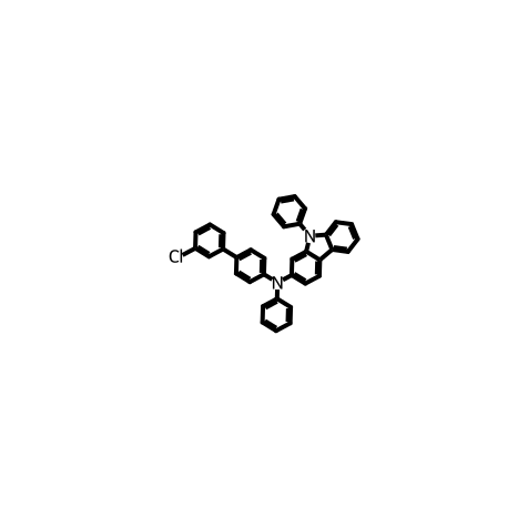 Clc1cccc(-c2ccc(N(c3ccccc3)c3ccc4c5ccccc5n(-c5ccccc5)c4c3)cc2)c1